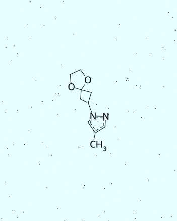 Cc1cnn(C2CC3(C2)OCCO3)c1